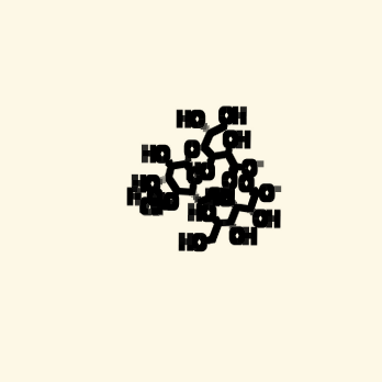 O.O=C([O-])[C@H](O)[C@@H](O)[C@H](O)[C@H](O)CO.O=C([O-])[C@H](O)[C@@H](O)[C@H](O[C@@H]1O[C@H](CO)[C@H](O)[C@H](O)[C@H]1O)[C@H](O)CO.[Ca+2]